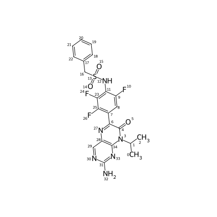 CC(C)n1c(=O)c(-c2cc(F)c(NS(=O)(=O)Cc3ccccc3)c(F)c2F)nc2cnc(N)nc21